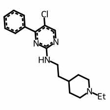 CCN1CCC(CCNc2ncc(Cl)c(-c3ccccc3)n2)CC1